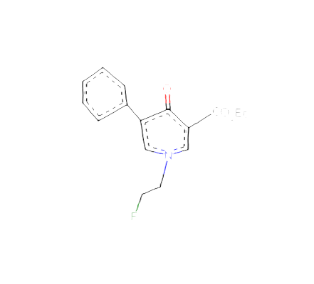 CCOC(=O)c1cn(CCF)cc(-c2ccccc2)c1=O